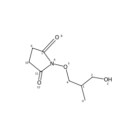 CC(CO)CON1C(=O)CCC1=O